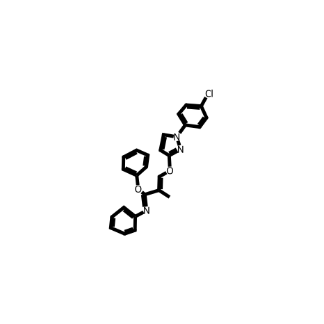 CC(=C\Oc1ccn(-c2ccc(Cl)cc2)n1)/C(=N/c1ccccc1)Oc1ccccc1